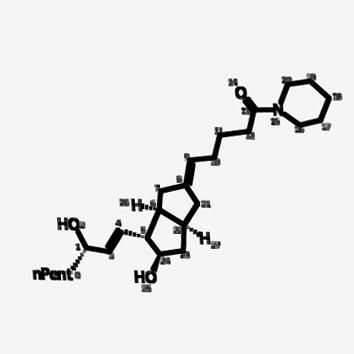 CCCCC[C@H](O)/C=C/[C@@H]1[C@H]2C/C(=C/CCCC(=O)N3CCCCC3)C[C@H]2C[C@H]1O